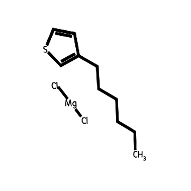 CCCCCCc1ccsc1.[Cl][Mg][Cl]